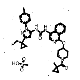 CS(=O)(=O)O.Cc1ccc(-n2nc(C3(CF)CC3)cc2NC(=O)Nc2cnc(OC3CCN(C(=O)C4(C)CC4)CC3)c3ccccc23)cc1